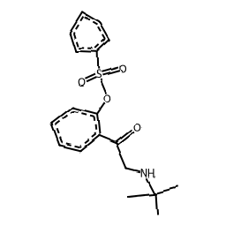 CC(C)(C)NCC(=O)c1ccccc1OS(=O)(=O)c1ccccc1